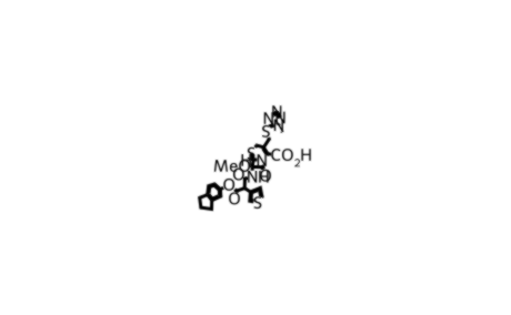 CO[C@@]1(NC(=O)C(C(=O)Oc2ccc3c(c2)CCC3)c2ccsc2)C(=O)N2C(C(=O)O)=C(CSc3nnnn3C)CS[C@H]21